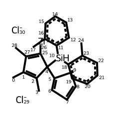 CC1=C(C)C(C2=CC=CC2)([SiH](c2ccccc2C)c2ccccc2C)[C]([Zr+2])=C1C.[Cl-].[Cl-]